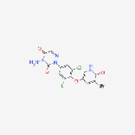 CC(C)c1cc(Oc2c(Cl)cc(-n3ncc(=O)n(N)c3=O)cc2Cl)c[nH]c1=O